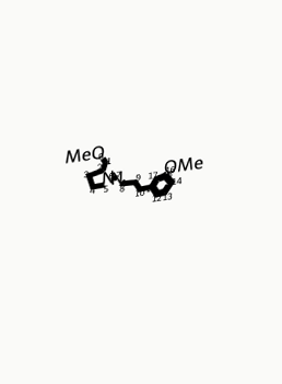 COCC1CCCN1/N=C/CCc1cccc(OC)c1